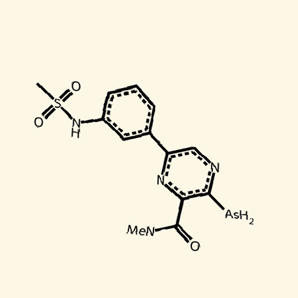 CNC(=O)c1nc(-c2cccc(NS(C)(=O)=O)c2)cnc1[AsH2]